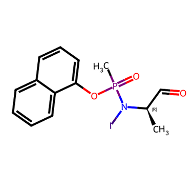 C[C@H](C=O)N(I)P(C)(=O)Oc1cccc2ccccc12